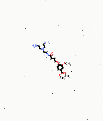 COc1cc(C(OC)OC)ccc1OCCCC(=O)NCCN(CCN)CCN